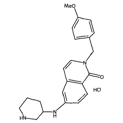 COc1ccc(Cn2ccc3cc(NC4CCCNC4)ccc3c2=O)cc1.Cl